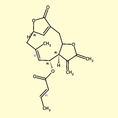 C=C1OC2CC3=C[C@@H](C/C(C)=C/[C@@H](OC(=O)/C=C/C)[C@@H]2C1=C)OC3=O